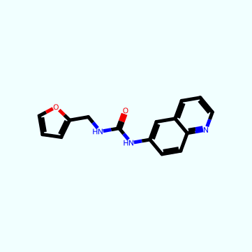 O=C(NCc1ccco1)Nc1ccc2ncccc2c1